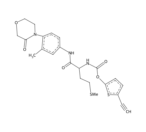 C#Cc1ccc(OC(=O)NC(CCSC)C(=O)Nc2ccc(N3CCOCC3=O)c(C)c2)s1